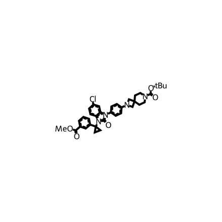 COC(=O)c1cccc(C2(n3c(=O)n(-c4ccc(N5CC6(CCN(C(=O)OC(C)(C)C)CC6)C5)cc4)c4cc(Cl)ccc43)CC2)c1